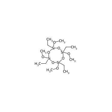 CC[Si]1(OC)O[Si](CC)(OC)O[Si](CC)(OC)O[Si](CC)(OC)O1